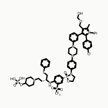 Cc1c(COCO)c(-c2cccc(N3CCN(c4ccc(N5CCO[P@]5(=O)c5ccc(N[C@H](CCN6CCC(OP(=O)(O)O)CC6)CSc6ccccc6)c(S(=O)(=O)C(F)(F)F)c5)cc4)CC3)c2)c(-c2ccc(Cl)cc2)n1C(C)C